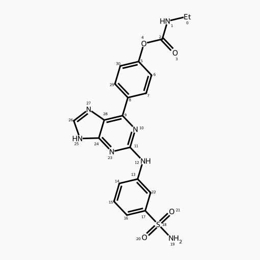 CCNC(=O)Oc1ccc(-c2nc(Nc3cccc(S(N)(=O)=O)c3)nc3[nH]cnc23)cc1